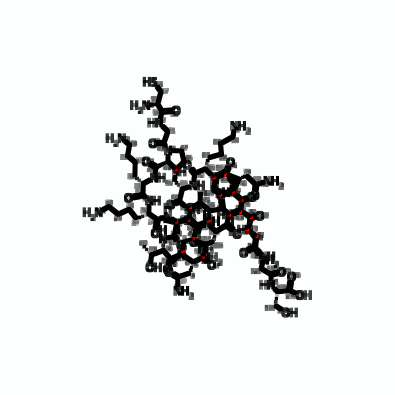 CC(C)C[C@H](NC(=O)[C@H](CC(N)=O)NC(=O)[C@@H](NC(=O)[C@H](CO)NC(=O)[C@H](CCCCN)NC(=O)[C@H](CCCCN)NC(=O)[C@@H]1CCCN1C(=O)CNC(=O)[C@@H](N)CS)[C@@H](C)O)C(=O)N[C@H](C(=O)N[C@@H](CCCCN)C(=O)N[C@@H](CC(N)=O)C(=O)N[C@@H](CCCCN)C(=O)N[C@@H](CS)C(=O)N[C@H](C(=O)N[C@@H](CC(N)=O)C(=O)N[C@@H](Cc1ccccc1)C(=O)NCC(=O)NCC(=O)N[C@@H](CO)C(=O)O)C(C)C)C(C)C